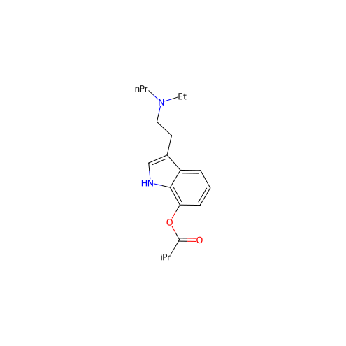 CCCN(CC)CCc1c[nH]c2c(OC(=O)C(C)C)cccc12